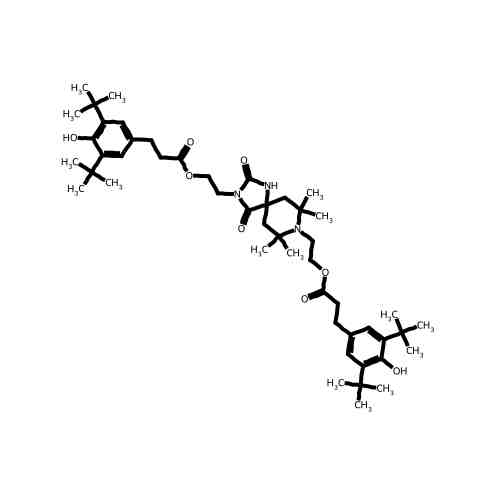 CC(C)(C)c1cc(CCC(=O)OCCN2C(=O)NC3(CC(C)(C)N(CCOC(=O)CCc4cc(C(C)(C)C)c(O)c(C(C)(C)C)c4)C(C)(C)C3)C2=O)cc(C(C)(C)C)c1O